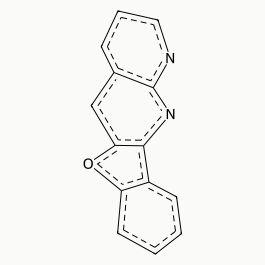 c1cnc2nc3c(cc2c1)oc1ccccc13